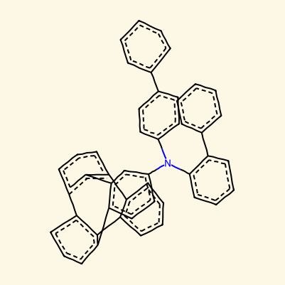 c1ccc(-c2ccc(N(c3ccc4c(c3)-c3c5cccc3-c3cccc-4c3-c3ccccc3-5)c3ccccc3-c3ccccc3)cc2)cc1